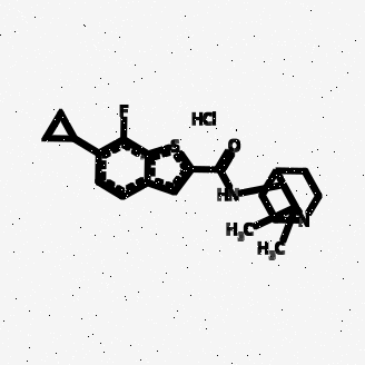 CC1(C)C(NC(=O)c2cc3ccc(C4CC4)c(F)c3s2)C2CCN1CC2.Cl